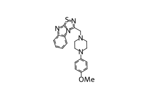 COc1ccc(N2CCN(Cc3nsc4nc5ccccc5n34)CC2)cc1